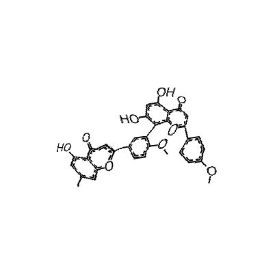 COc1ccc(-c2cc(=O)c3c(O)cc(O)c(-c4cc(-c5cc(=O)c6c(O)cc(C)cc6o5)ccc4OC)c3o2)cc1